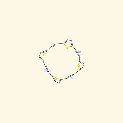 C1=C\c2ccc(s2)/C=C\c2ccc(s2)/C=C\c2ccc(s2)/C=C\c2ccc/1s2